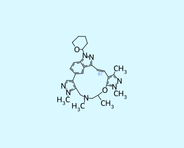 Cc1nn(C)c2c1/C=C/c1nn(C3CCCCO3)c3ccc(cc13)-c1cnn(C)c1CN(C)CC(C)O2